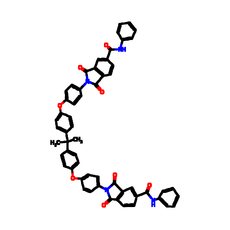 CC(C)(c1ccc(Oc2ccc(N3C(=O)c4ccc(C(=O)Nc5ccccc5)cc4C3=O)cc2)cc1)c1ccc(Oc2ccc(N3C(=O)c4ccc(C(=O)Nc5ccccc5)cc4C3=O)cc2)cc1